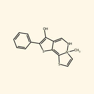 C[N+]12C=CSC1=c1sc(-c3ccccc3)c(O)c1=CN2